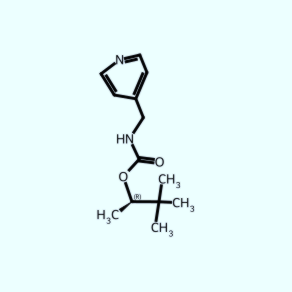 C[C@@H](OC(=O)NCc1ccncc1)C(C)(C)C